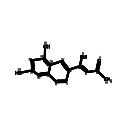 CC(=O)C=C(O)c1ccc2cc(O)cc(O)c2c1